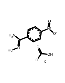 N/C(=N\O)c1ccc([N+](=O)[O-])cc1.O=C([O-])O.[K+]